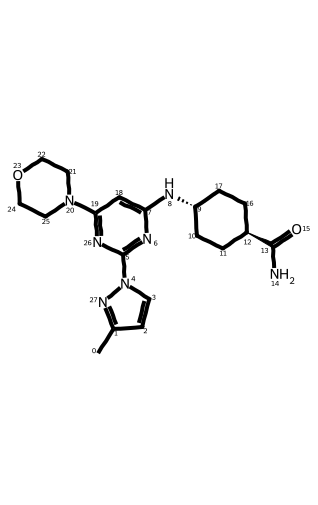 Cc1ccn(-c2nc(N[C@H]3CC[C@H](C(N)=O)CC3)cc(N3CCOCC3)n2)n1